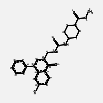 COC(=O)C1CCC(NC(=O)NCc2cn(-c3ccccc3)c3cc(Cl)ccc3c2=O)CC1